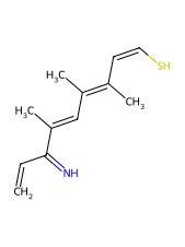 C=CC(=N)/C(C)=C/C(C)=C(C)/C=C\S